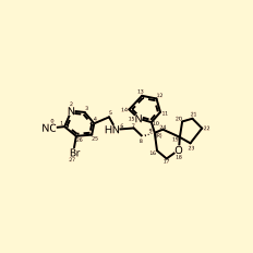 N#Cc1ncc(CNCC[C@@]2(c3ccccn3)CCOC3(CCCC3)C2)cc1Br